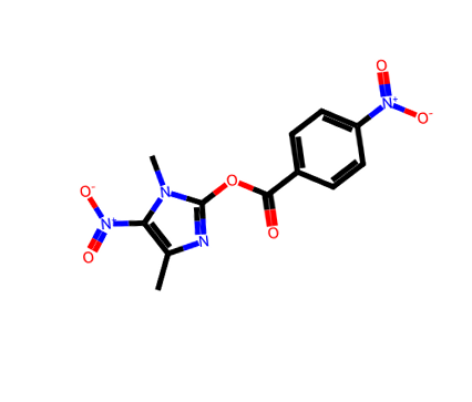 Cc1nc(OC(=O)c2ccc([N+](=O)[O-])cc2)n(C)c1[N+](=O)[O-]